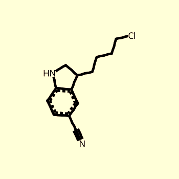 N#Cc1ccc2c(c1)C(CCCCCl)CN2